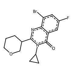 O=c1c2cc(F)cc(Br)c2nc(C2CCCOC2)n1C1CC1